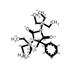 CC[Si](CC)(CC)N1C(=O)N([Si](CC)(CC)CC)C(C)(c2ccccc2)C1=O